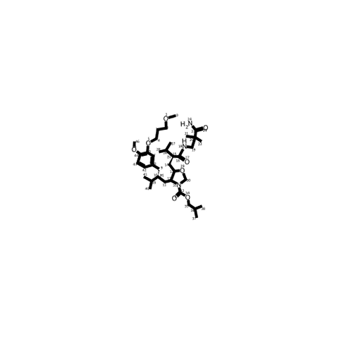 COCCCOc1cc(C[C@H](CC2C(C[C@H](C(=O)NCC(C)(C)C(N)=O)C(C)C)OCN2C(=O)OCC(C)C)C(C)C)ccc1OC